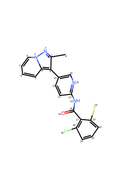 Cc1nn2ccccc2c1-c1ccc(NC(=O)c2c(F)cccc2F)nc1